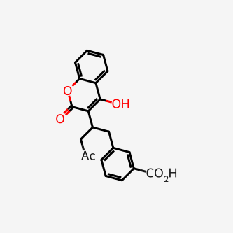 CC(=O)CC(Cc1cccc(C(=O)O)c1)c1c(O)c2ccccc2oc1=O